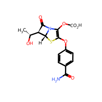 C[C@@H](O)[C@H]1C(=O)N2C(OC(=O)O)=C(Oc3ccc(C(N)=O)cc3)S[C@H]12